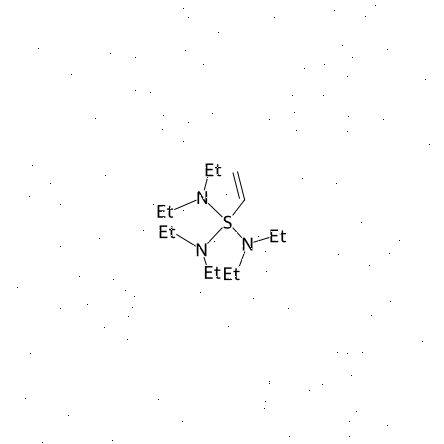 C=CS(N(CC)CC)(N(CC)CC)N(CC)CC